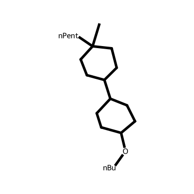 CCCCCC1(C)CCC(C2CCC(OCCCC)CC2)CC1